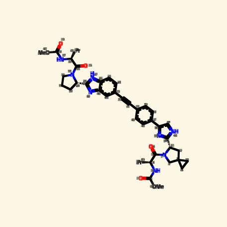 COC(=O)N[C@H](C(=O)N1CC2(CC2)C[C@H]1c1nc(-c2ccc(C#Cc3ccc4[nH]c([C@@H]5CCCN5C(=O)[C@@H](NC(=O)OC)C(C)C)nc4c3)cc2)c[nH]1)C(C)C